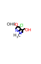 Cn1cc(CO)c2c(Cl)c(OC=O)cnc21